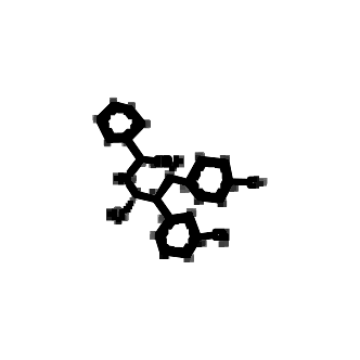 C[C@H](NC(C(=O)O)c1ccccc1)[C@@H](Cc1ccc(Cl)cc1)c1cccc(C#N)c1